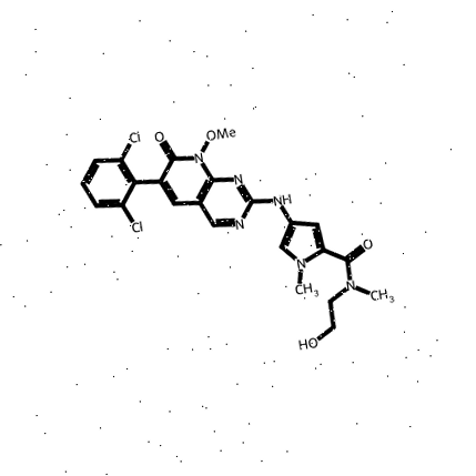 COn1c(=O)c(-c2c(Cl)cccc2Cl)cc2cnc(Nc3cc(C(=O)N(C)CCO)n(C)c3)nc21